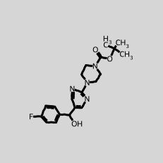 CC(C)(C)OC(=O)N1CCN(c2ncc(C(O)c3ccc(F)cc3)cn2)CC1